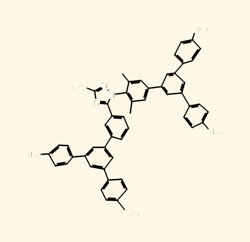 CCCc1nc(-c2cccc(-c3cc(-c4ccc(C(C)(C)C)cc4)cc(-c4ccc(C(C)(C)C)cc4)c3)c2)n(-c2c(C)cc(-c3cc(-c4ccc(C(C)(C)C)cc4)cc(-c4ccc(C(C)(C)C)cc4)c3)cc2C)n1